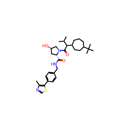 Cc1ncsc1-c1ccc(CNC(=O)[C@@H]2C[C@@H](O)CN2C(=O)C(C(C)C)C2CCCC(C(C)(C)C)CC2)cc1